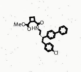 COC(=O)C1CCC1C(=O)NCC[C@@H](Cc1ccc(Cl)cc1)c1ccc(-c2ccccc2)cc1